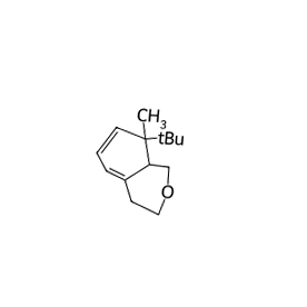 CC(C)(C)C1(C)C=CC=C2CCOCC21